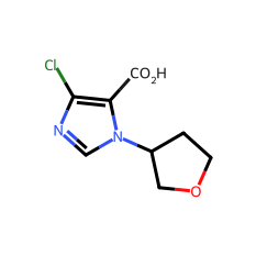 O=C(O)c1c(Cl)ncn1C1CCOC1